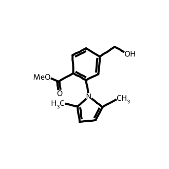 COC(=O)c1ccc(CO)cc1-n1c(C)ccc1C